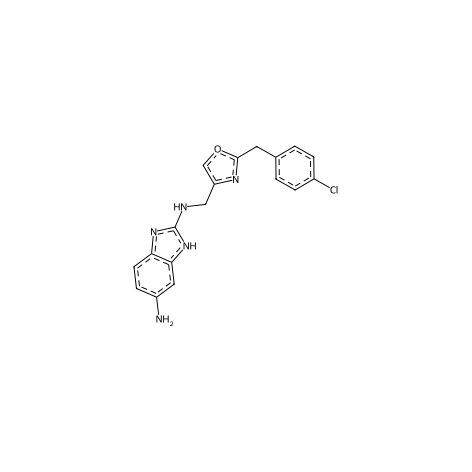 Nc1ccc2nc(NCc3coc(Cc4ccc(Cl)cc4)n3)[nH]c2c1